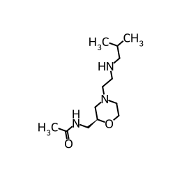 CC(=O)NC[C@H]1CN(CCNCC(C)C)CCO1